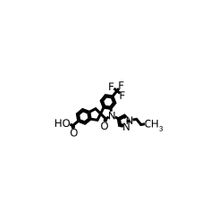 CCCn1cc(N2C(=O)C3(Cc4ccc(C(=O)O)cc4C3)c3ccc(C(F)(F)F)cc32)cn1